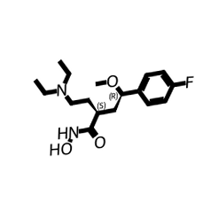 CCN(CC)CC[C@@H](C[C@@H](OC)c1ccc(F)cc1)C(=O)NO